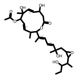 CCC(O)C(C)C1OC1CC(C)(O)/C=C/C=C(\C)C1OC(=O)CC(O)/C=C/C(C)(O)C(OC(C)=O)/C=C/C1C